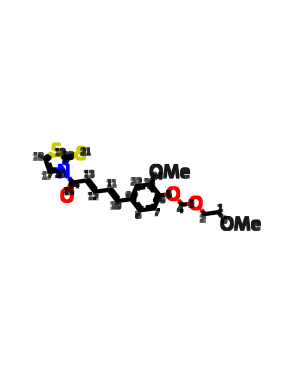 COCCOCOc1ccc(C=CC=CC(=O)n2ccsc2=S)cc1OC